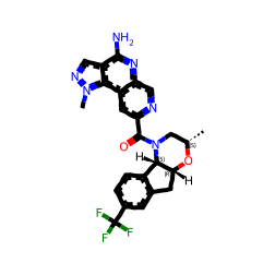 C[C@H]1CN(C(=O)c2cc3c(cn2)nc(N)c2cnn(C)c23)[C@H]2c3ccc(C(F)(F)F)cc3C[C@H]2O1